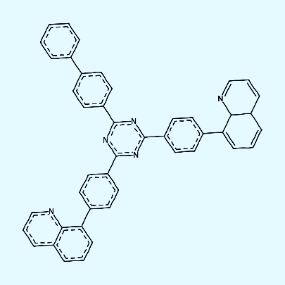 C1=CC2C=CC=C(c3ccc(-c4nc(-c5ccc(-c6ccccc6)cc5)nc(-c5ccc(-c6cccc7cccnc67)cc5)n4)cc3)C2N=C1